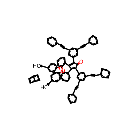 C#Cc1ccc(Oc2ccccc2C2=C(c3cc(C#Cc4ccccc4)cc(C#Cc4ccccc4)c3)C(=O)C(c3cc(C#Cc4ccccc4)cc(C#Cc4ccccc4)c3)=C2c2ccccc2Oc2ccc(C#C)cc2)cc1.c1cc2ccc1-2